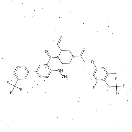 CNc1ccc(-c2cccc(C(F)(F)F)c2)cc1C(=O)N1CCN(C(=O)COc2cc(F)c(OC(F)(F)F)c(F)c2)CC1C=O